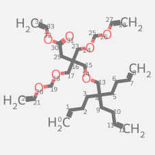 C=CCCC(CCC=C)(CCC=C)COCC(COCOC=C)(COCOC=C)CC(=O)OC=C